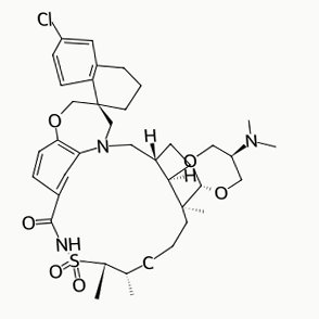 C[C@@H]1[C@@H](C)CCC[C@](C)([C@H]2OC[C@H](N(C)C)CO2)[C@@H]2CC[C@H]2CN2C[C@@]3(CCCc4cc(Cl)ccc43)COc3ccc(cc32)C(=O)NS1(=O)=O